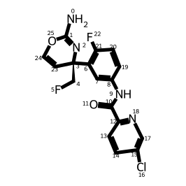 NC1=N[C@](CF)(c2cc(NC(=O)c3ccc(Cl)cn3)ccc2F)C=CO1